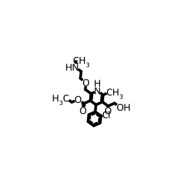 CCOC(=O)C1=C(COCCNC)NC(C)=C(C(=O)CO)C1c1ccccc1Cl